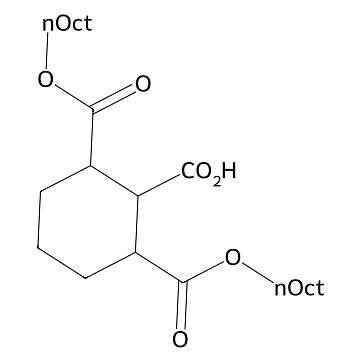 CCCCCCCCOC(=O)C1CCCC(C(=O)OCCCCCCCC)C1C(=O)O